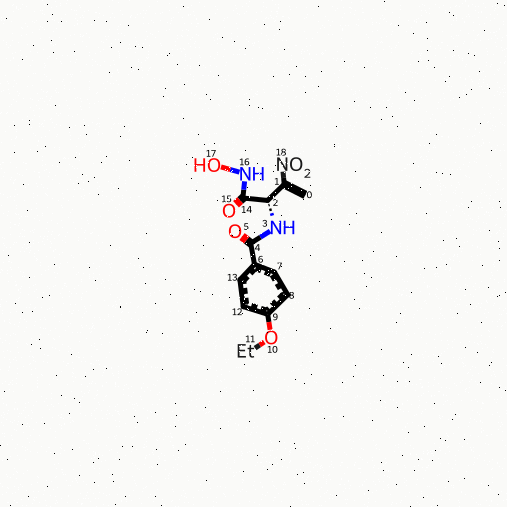 C=C([C@H](NC(=O)c1ccc(OCC)cc1)C(=O)NO)[N+](=O)[O-]